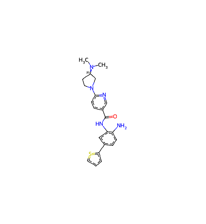 CN(C)[C@@H]1CCN(c2ccc(C(=O)Nc3cc(-c4cccs4)ccc3N)cn2)C1